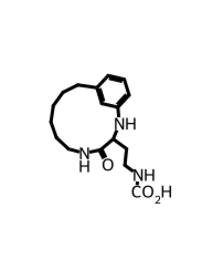 O=C(O)NCCC1Nc2cccc(c2)CCCCCCNC1=O